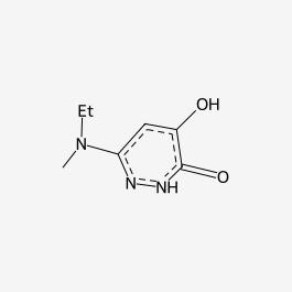 CCN(C)c1cc(O)c(=O)[nH]n1